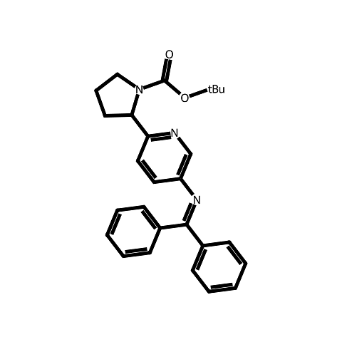 CC(C)(C)OC(=O)N1CCCC1c1ccc(N=C(c2ccccc2)c2ccccc2)cn1